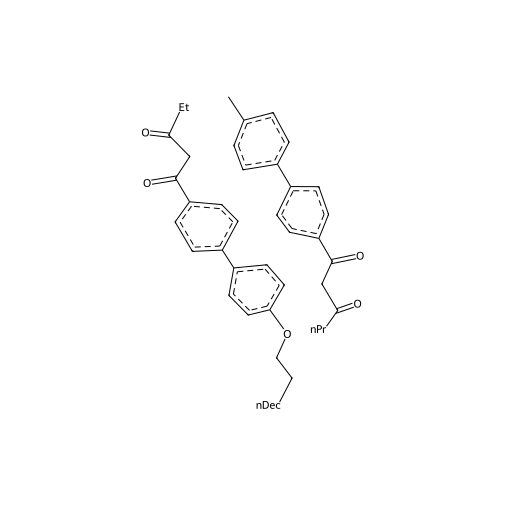 CCCC(=O)CC(=O)c1ccc(-c2ccc(C)cc2)cc1.CCCCCCCCCCCCOc1ccc(-c2ccc(C(=O)CC(=O)CC)cc2)cc1